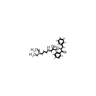 CCN(CC)CCCNCC(O)COC(Cc1ccccc1)C(=O)c1ccccc1